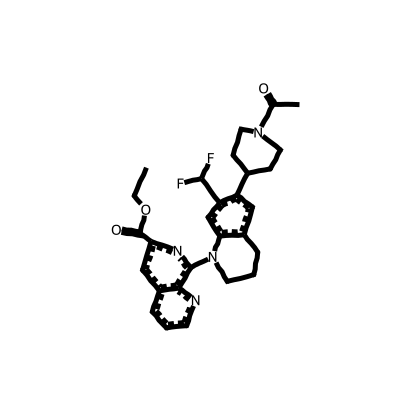 CCOC(=O)c1cc2cccnc2c(N2CCCc3cc(C4CCN(C(C)=O)CC4)c(C(F)F)cc32)n1